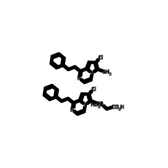 Nc1c(Cl)cc2c(CCc3ccccc3)nccn12.Nc1c(Cl)cc2c(CCc3ccccc3)nccn12.O=C(O)CC(=O)O